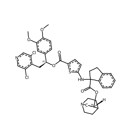 COc1ccc([C@H](Cc2c(Cl)cncc2Cl)OC(=O)c2ccc(NC3(C(=O)O[C@H]4CN5CCC4CC5)CCc4ccccc43)s2)cc1OC